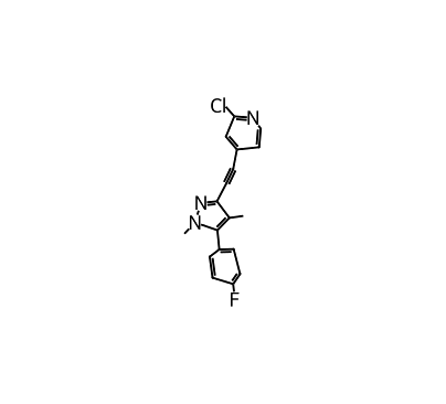 Cc1c(C#Cc2ccnc(Cl)c2)nn(C)c1-c1ccc(F)cc1